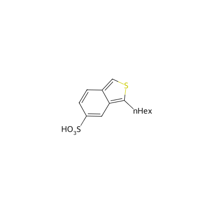 CCCCCCc1scc2ccc(S(=O)(=O)O)cc12